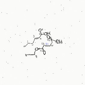 CCCC=CC(=O)O.CCOC(=O)/C=C/C(=O)O